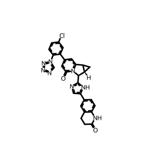 O=C1CCc2cc(-c3cnc(C4[C@H]5CC5c5cc(-c6cc(Cl)ccc6-n6cnnn6)cc(=O)n54)[nH]3)ccc2N1